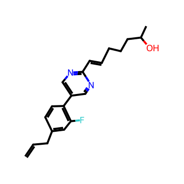 C=CCc1ccc(-c2cnc(C=CCCCC(C)O)nc2)c(F)c1